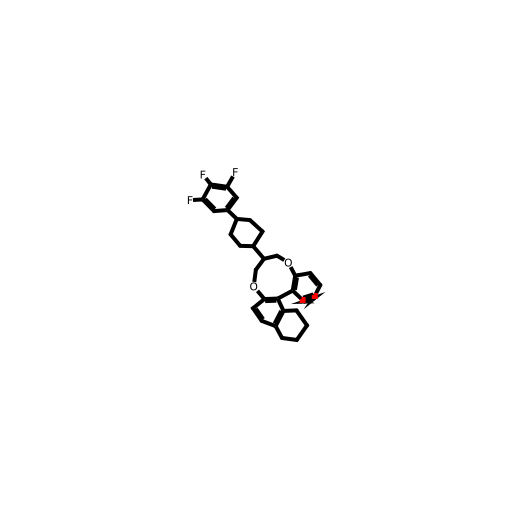 Fc1cc(C2CCC(C3COc4ccc5c(c4-c4c(ccc6c4CCCC6)OC3)CCCC5)CC2)cc(F)c1F